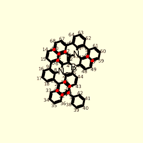 Cc1cc2c3c(c1)N(c1c(-c4ccccc4)cccc1-c1ccccc1F)c1cc(N(c4ccccc4)c4ccccc4)ccc1B3c1ccccc1N2c1c(-c2ccccc2)cccc1-c1ccccc1F